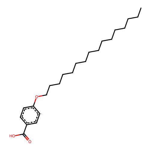 CCCCCCCCCCCCCCCCOc1[c]cc(C(=O)O)cc1